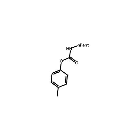 CCCCCNC(=O)Oc1ccc(C)cc1